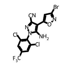 N#Cc1nn(-c2c(Cl)cc(C(F)(F)F)cc2Cl)c(N)c1-c1cc(Br)no1